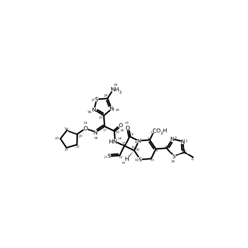 Cc1nnc(C2=C(C(=O)O)N3C(=O)C(C=S)(NC(=O)C(=NOC4CCCC4)c4nsc(N)n4)[C@@H]3SC2)s1